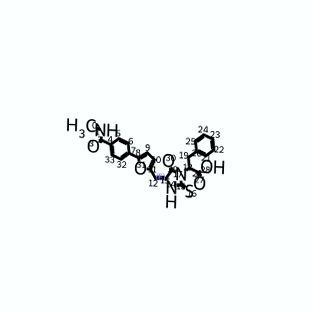 CNC(=O)c1ccc(-c2ccc(/C=C3/NC(=S)N(C(Cc4ccccc4)C(=O)O)C3=O)o2)cc1